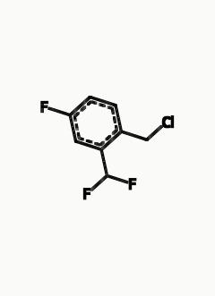 Fc1ccc(CCl)c(C(F)F)c1